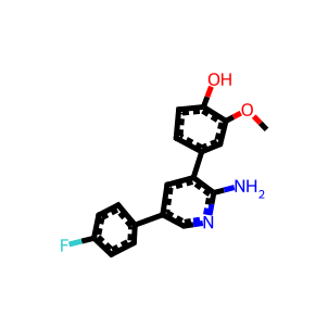 COc1cc(-c2cc(-c3ccc(F)cc3)cnc2N)ccc1O